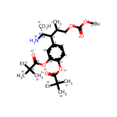 CCC(C)OC(=O)OCC(C)C(c1ccc(OC(=O)C(C)(C)CC)c(OC(=O)C(C)(C)CC)c1)[C@H](N)C(=O)O